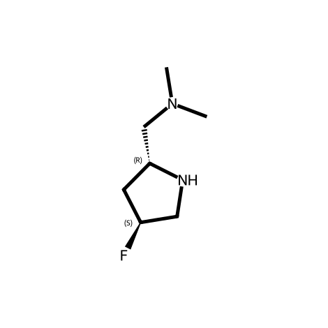 CN(C)C[C@H]1C[C@H](F)CN1